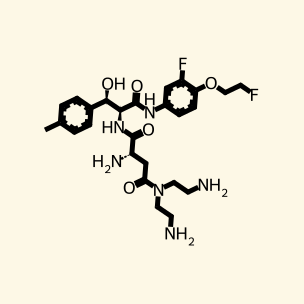 Cc1ccc([C@@H](O)[C@H](NC(=O)[C@@H](N)CC(=O)N(CCN)CCN)C(=O)Nc2ccc(OCCF)c(F)c2)cc1